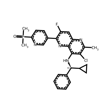 Cc1nc2cc(F)c(-c3ccc(P(C)(C)=O)nc3)nc2c(N[C@H](c2ccccc2)C2CC2)c1Cl